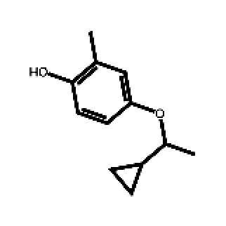 Cc1cc(OC(C)C2CC2)ccc1O